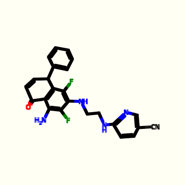 N#Cc1ccc(NCCNc2c(F)c(N)c3c(c2F)C(c2ccccc2)C=CC3=O)nc1